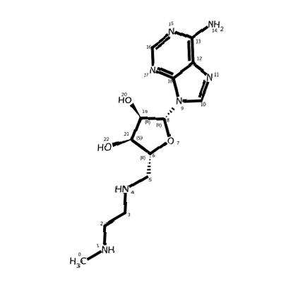 CNCCNC[C@H]1O[C@@H](n2cnc3c(N)ncnc32)[C@H](O)[C@@H]1O